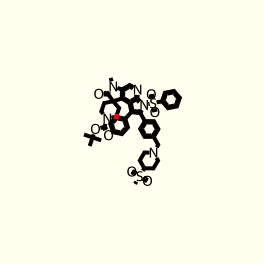 CN1C(=O)C2(CCN(C(=O)OC(C)(C)C)CC2)c2c1cnc1c2c(-c2ccccc2)c(-c2ccc(CN3CCC(S(C)(=O)=O)CC3)cc2)n1S(=O)(=O)c1ccccc1